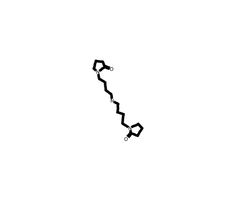 O=C1CCCN1CCCC[N]CCCCN1CCCC1=O